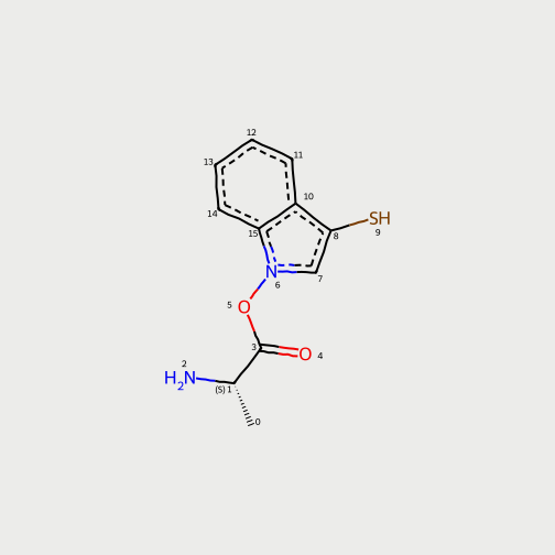 C[C@H](N)C(=O)On1cc(S)c2ccccc21